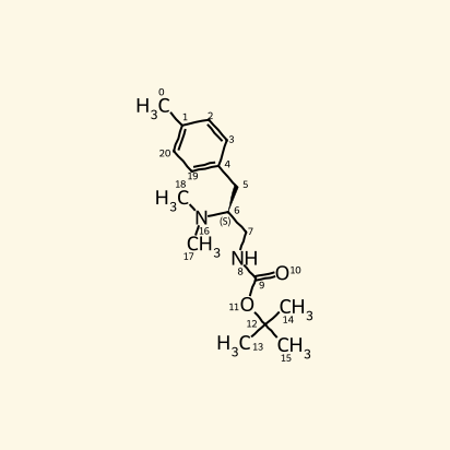 Cc1ccc(C[C@@H](CNC(=O)OC(C)(C)C)N(C)C)cc1